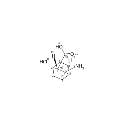 Cl.N[C@H]1C2CCC(CC2)[C@@H]1C(=O)O